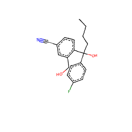 CCCCC(O)(c1ccc(F)cc1)c1ccc(C#N)cc1CO